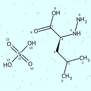 CC(C)C[C@H](NN)C(=O)O.O=S(=O)(O)O